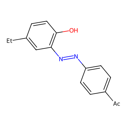 CCc1ccc(O)c(/N=N/c2ccc(C(C)=O)cc2)c1